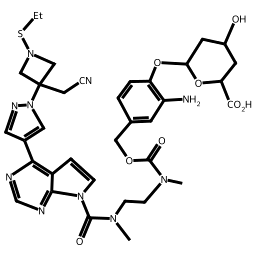 CCSN1CC(CC#N)(n2cc(-c3ncnc4c3ccn4C(=O)N(C)CCN(C)C(=O)OCc3ccc(OC4CC(O)CC(C(=O)O)O4)c(N)c3)cn2)C1